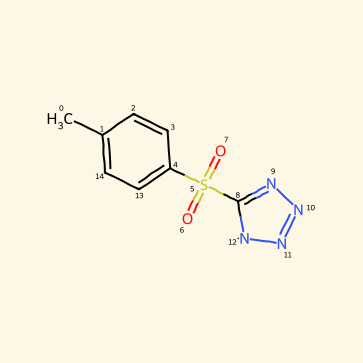 Cc1ccc(S(=O)(=O)C2=NN=N[N]2)cc1